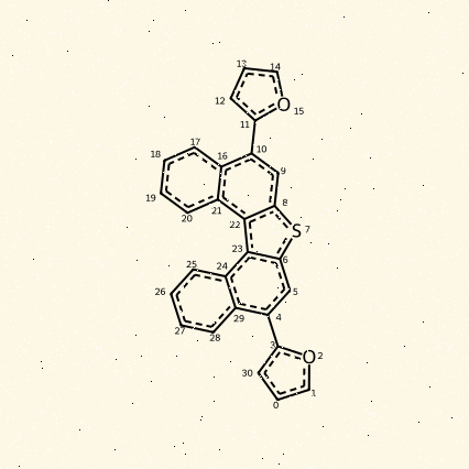 c1coc(-c2cc3sc4cc(-c5ccco5)c5ccccc5c4c3c3ccccc23)c1